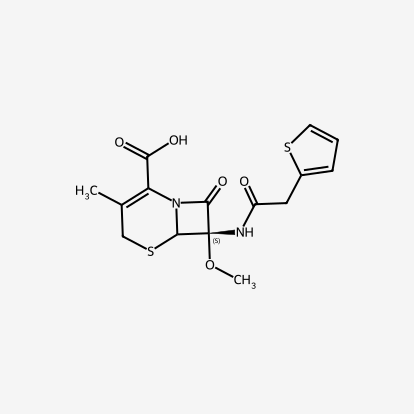 CO[C@@]1(NC(=O)Cc2cccs2)C(=O)N2C(C(=O)O)=C(C)CSC21